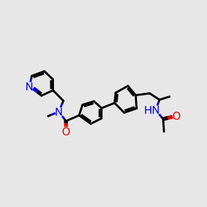 CC(=O)NC(C)Cc1ccc(-c2ccc(C(=O)N(C)Cc3cccnc3)cc2)cc1